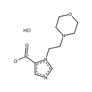 Cl.O=[N+]([O-])c1cncn1CCN1CCOCC1